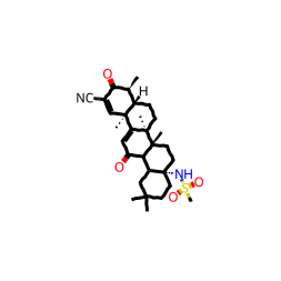 C[C@@H]1C(=O)C(C#N)=C[C@]2(C)C3=CC(=O)C4C5CC(C)(C)CC[C@]5(NS(C)(=O)=O)CC[C@@]4(C)[C@]3(C)CC[C@@H]12